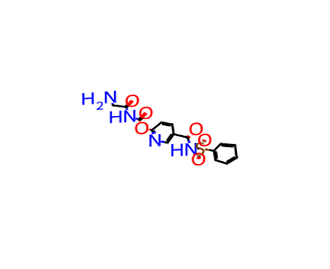 NCC(=O)NC(=O)Oc1ccc(C(=O)NS(=O)(=O)c2ccccc2)cn1